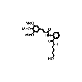 COc1cc(C=CC(=O)Nc2ccccc2C(=O)NCCCCO)cc(OC)c1OC